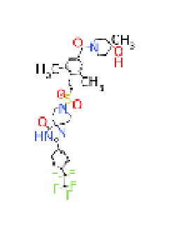 Cc1cc(C(=O)N2CCC(C)(O)CC2)cc(C)c1C=CS(=O)(=O)N1CCC2(CC1)N=C(c1ccc(C(F)(F)C(F)(F)F)cc1)NC2=O